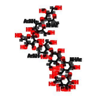 CC(=O)NC1[C@H](O[C@@H]2C(O)[C@@](O)(O[C@@H]3C(CO)O[C@@H](O[C@@H]4C(NC(C)=O)C(C)OC(CO)[C@@H]4O)C(NC(C)=O)[C@H]3O)OC(CO)[C@@H]2O)OC(CO)[C@@H](O[C@@H]2OC(CO)[C@H](O)[C@H](O[C@@H]3OC(CO)[C@@H](O[C@@H]4OC(C(O)O)C(O)(O)C(O)(O)C4O)[C@H](O)C3NC(C)=O)C2O)[C@@H]1O